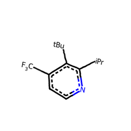 CC(C)c1nccc(C(F)(F)F)c1C(C)(C)C